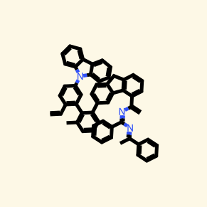 C=Cc1ccc(-n2c3ccccc3c3ccccc32)cc1-c1c(C)cccc1-c1ccc2c(c1)-c1c(cccc1C(=C)/N=C(\N=C(/C)c1ccccc1)c1ccccc1)C2